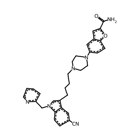 N#Cc1ccc2c(c1)c(CCCCN1CCN(c3ccc4oc(C(N)=O)cc4c3)CC1)cn2Cc1ccccn1